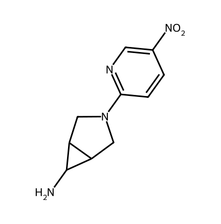 NC1C2CN(c3ccc([N+](=O)[O-])cn3)CC12